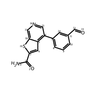 NC(=O)c1cc2c(-c3cccc(C=O)c3)cncc2s1